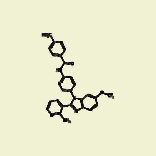 Nc1ncccc1-c1nc2ccc(OC(F)(F)F)cc2n1-c1ccc(NC(=O)c2ccc(C(=O)O)cc2)nc1